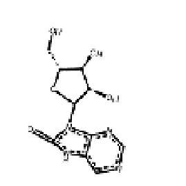 O=c1[nH]c2cncnc2n1C1O[C@H](CO)[C@@H](O)[C@H]1O